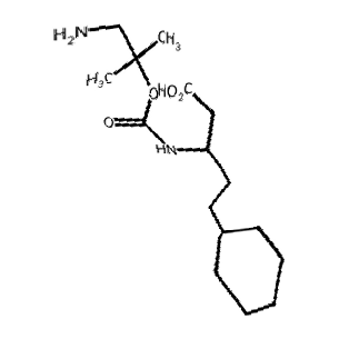 CC(C)(CN)OC(=O)NC(CCC1CCCCC1)CC(=O)O